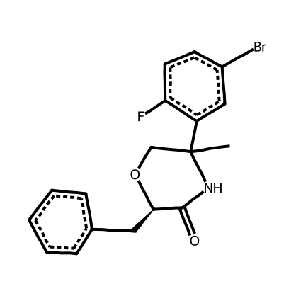 CC1(c2cc(Br)ccc2F)CO[C@H](Cc2ccccc2)C(=O)N1